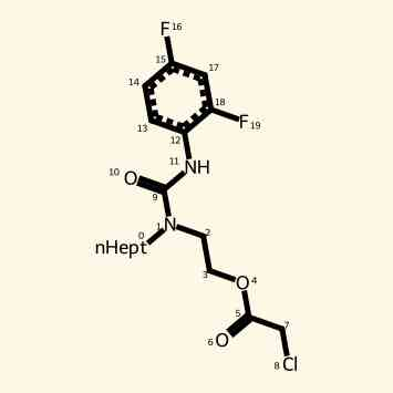 CCCCCCCN(CCOC(=O)CCl)C(=O)Nc1ccc(F)cc1F